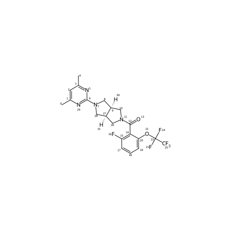 Cc1cc(C)nc(N2C[C@H]3CN(C(=O)c4c(F)cccc4OC(F)(F)C(F)(F)F)C[C@H]3C2)n1